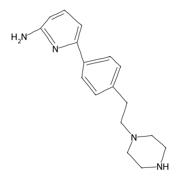 Nc1cccc(-c2ccc(CCN3CCNCC3)cc2)n1